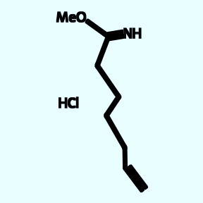 C=CCCCCC(=N)OC.Cl